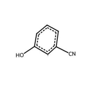 N#Cc1[c]c(O)ccc1